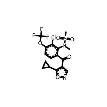 CN(c1c(C(=O)c2cnoc2C2CC2)ccc(OC(F)(F)F)c1Cl)S(C)(=O)=O